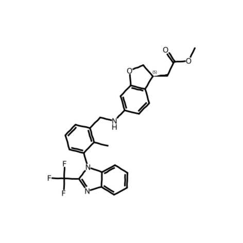 COC(=O)C[C@@H]1COc2cc(NCc3cccc(-n4c(C(F)(F)F)nc5ccccc54)c3C)ccc21